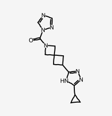 O=C(N1CC2(CC(c3nnc(C4CC4)[nH]3)C2)C1)n1cncn1